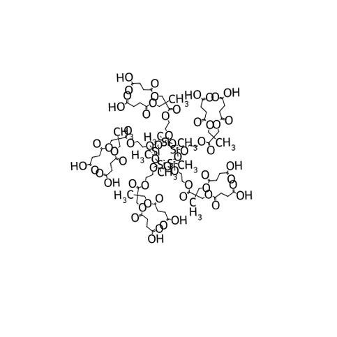 CC(COC(=O)CCC(=O)O)(COC(=O)CCC(=O)O)C(=O)OCCO[Si]1(C)O[Si](C)(OCCOC(=O)C(C)(COC(=O)CCC(=O)O)COC(=O)CCC(=O)O)O[Si](C)(OCCOC(=O)C(C)(COC(=O)CCC(=O)O)COC(=O)CCC(=O)O)O[Si](C)(OCCOC(=O)C(C)(COC(=O)CCC(=O)O)COC(=O)CCC(=O)O)O[Si](C)(OCCOC(=O)C(C)(COC(=O)CCC(=O)O)COC(=O)CCC(=O)O)O1